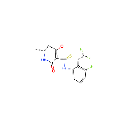 CC1CC(O)=C(C(=S)Nc2cccc(F)c2CC(F)F)C(=O)N1